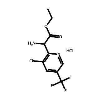 CCOC(=O)C(N)c1ncc(C(F)(F)F)cc1Cl.Cl